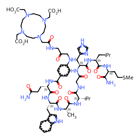 CSCC[C@H](NC(=O)[C@H](CC(C)C)NC(=O)[C@H](Cc1c[nH]cn1)NC(=O)CNC(=O)[C@@H](NC(=O)[C@H](C)NC(=O)[C@H](Cc1c[nH]c2ccccc12)NC(=O)[C@H](CCC(N)=O)NC(=O)c1ccc(NCC(=O)CNC(=O)CN2CCN(CC(=O)O)CCN(CC(=O)O)CCN(CC(=O)O)CC2)cc1)C(C)C)C(N)=O